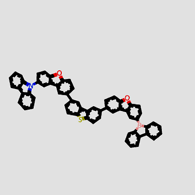 c1ccc2c(c1)B(c1ccc3oc4ccc(-c5ccc6sc7ccc(-c8ccc9oc%10ccc(-n%11c%12ccccc%12c%12ccccc%12%11)cc%10c9c8)cc7c6c5)cc4c3c1)c1ccccc1-2